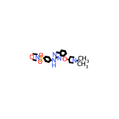 CC(C)N1CCC(Oc2cccc3cnc(Nc4ccc(S(=O)(=O)N5CCOCC5)cc4)nc23)CC1